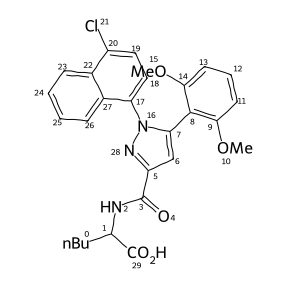 CCCCC(NC(=O)c1cc(-c2c(OC)cccc2OC)n(-c2ccc(Cl)c3ccccc23)n1)C(=O)O